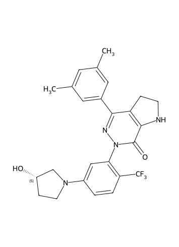 Cc1cc(C)cc(-c2nn(-c3cc(N4CC[C@H](O)C4)ccc3C(F)(F)F)c(=O)c3c2CCN3)c1